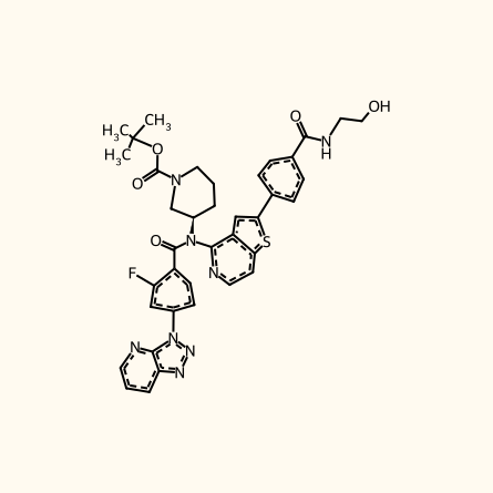 CC(C)(C)OC(=O)N1CCC[C@@H](N(C(=O)c2ccc(-n3nnc4cccnc43)cc2F)c2nccc3sc(-c4ccc(C(=O)NCCO)cc4)cc23)C1